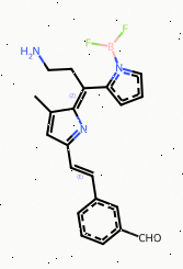 CC1=CC(/C=C/c2cccc(C=O)c2)=NC/1=C(/CCN)c1cccn1B(F)F